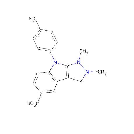 CN1Cc2c(n(-c3ccc(C(F)(F)F)cc3)c3ccc(C(=O)O)cc23)N1C